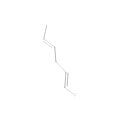 [CH]CC=CCC=C[CH2]